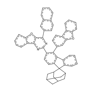 c1ccc2c(c1)-c1c(ccc(-c3nc(-c4ccc5ccccc5c4)c4oc5ccccc5c4n3)c1-c1ccc3c(c1)oc1ccccc13)C21C2CC3CC(C2)CC1C3